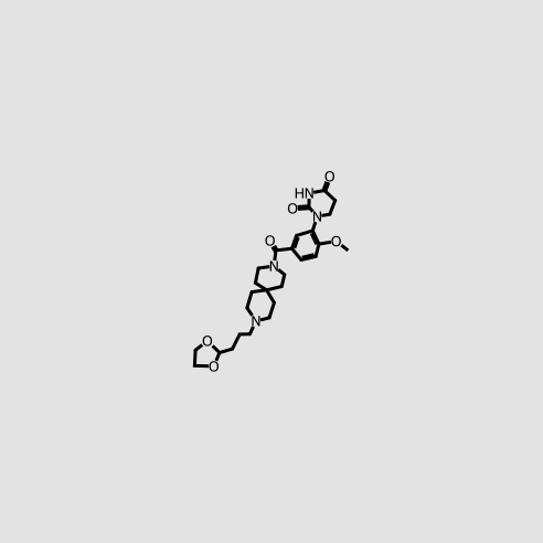 COc1ccc(C(=O)N2CCC3(CCN(CCCC4OCCO4)CC3)CC2)cc1N1CCC(=O)NC1=O